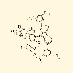 Cc1cc(C)cc(-c2ccc3c4ccc(-c5cc(C)cc(C)c5)cc4n(-c4cc(C(C)(C)CC(C)(C)C)cc5c4OCOc4c(C)cc(F)cc4-5)c3c2)c1